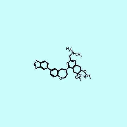 COC1Cc2nc(CN(C)C)nc(N3CCOc4ccc(-c5ccc6scnc6c5)cc4C3)c2CC1(C)C